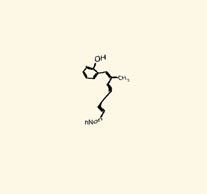 CCCCCCCCCC=CC=CC(C)=Cc1ccccc1O